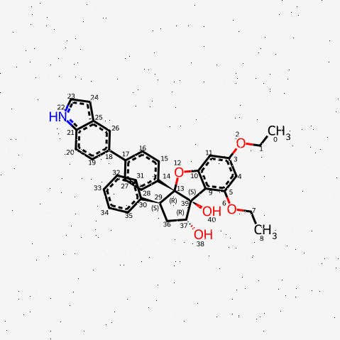 CCOc1cc(OCC)c2c(c1)O[C@@]1(c3ccc(-c4ccc5[nH]ccc5c4)cc3)[C@H](c3ccccc3)C[C@@H](O)[C@@]21O